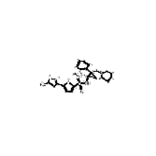 O=C(O)[C@@]1(NS(=O)(=O)c2ccc(-c3cc(C(F)(F)F)on3)s2)C[C@@]1(CN1CCCCC1)c1ccccc1